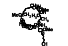 C#CCCCCO[C@@H]1CC[C@@H](C[C@@H](N)[C@@H]2CC[C@H](C)/C=C(\C)[C@@H](O)[C@@H](OC)C(=O)[C@H](C)C[C@H](C)/C=C/C=C/C=C(\C)[C@@H](OC)C[C@@H]3CC[C@@H](C)[C@@](O)(O3)C(=O)C(=O)N3CCCC[C@H]3C(=O)O2)C[C@H]1OC